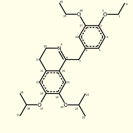 CCOc1ccc(CC2=NCCc3cc(OC(C)C)c(OC(C)C)cc32)cc1OCC